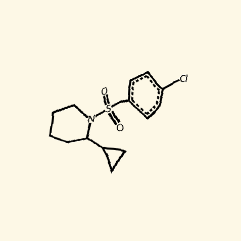 O=S(=O)(c1ccc(Cl)cc1)N1CCCCC1C1CC1